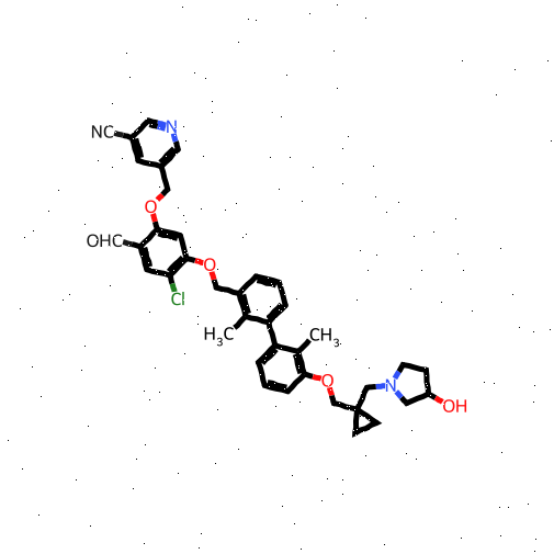 Cc1c(COc2cc(OCc3cncc(C#N)c3)c(C=O)cc2Cl)cccc1-c1cccc(OCC2(CN3CCC(O)C3)CC2)c1C